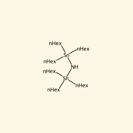 CCCCC[CH2][Sn]([CH2]CCCCC)([CH2]CCCCC)[NH][Sn]([CH2]CCCCC)([CH2]CCCCC)[CH2]CCCCC